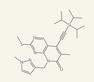 CSc1ncc2c(C#C[Si](C(C)C)(C(C)C)C(C)C)c(C)c(=O)n(Cc3ccn(C)n3)c2n1